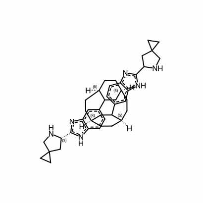 c1cc2[nH]c([C@@H]3CC4(CC4)CN3)nc2cc1C1C[C@H]2CC[C@@H]1CC[C@@H]1CC[C@H](CC2)C(c2ccc3nc(C4CC5(CC5)CN4)[nH]c3c2)C1